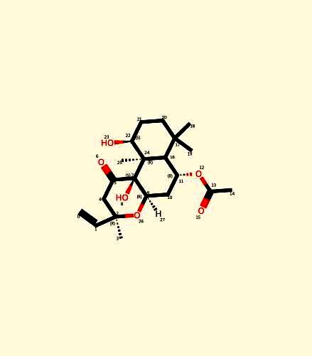 C=C[C@@]1(C)CC(=O)[C@@]2(O)[C@@H](C[C@@H](OC(C)=O)C3C(C)(C)CC[C@H](O)[C@@]32C)O1